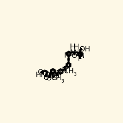 CN(Cc1cccc(C#Cc2cc(NC(=O)Nc3cc(F)ncc3CO)ccn2)c1)C1CCN(C(=O)c2cccc3c2n(C)c(=O)n3C2CCC(=O)NC2=O)CC1